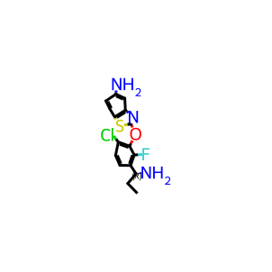 CC[C@@H](N)c1ccc(Cl)c(Oc2nc3cc(N)ccc3s2)c1F